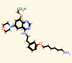 NCCCCCCOc1cccc(CCNc2ncnc3c(OCC(=O)O)cc(N4CCOCC4)cc23)c1